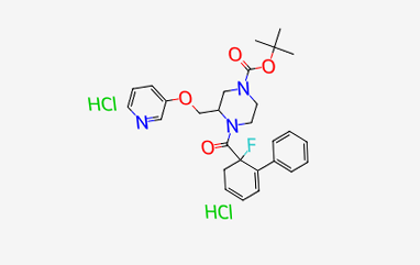 CC(C)(C)OC(=O)N1CCN(C(=O)C2(F)CC=CC=C2c2ccccc2)C(COc2cccnc2)C1.Cl.Cl